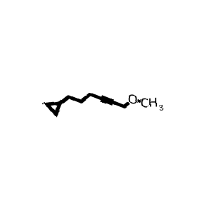 COCC#CCCCC1[CH]C1